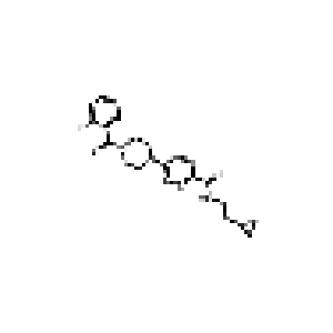 O=C(NCCC1CC1)c1ccc(N2CCN(C(=O)c3ccccc3F)CC2)nn1